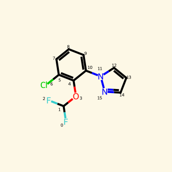 FC(F)Oc1c(Cl)cccc1-n1cccn1